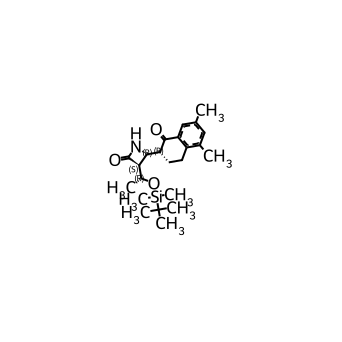 Cc1cc(C)c2c(c1)C(=O)[C@@H]([C@H]1NC(=O)[C@@H]1[C@@H](C)O[Si](C)(C)C(C)(C)C)CC2